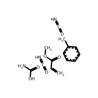 C=CC(=O)OC.Cc1ccccc1.N=C=O.N=C=O.NC(=O)O